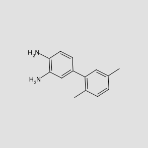 Cc1ccc(C)c(-c2ccc(N)c(N)c2)c1